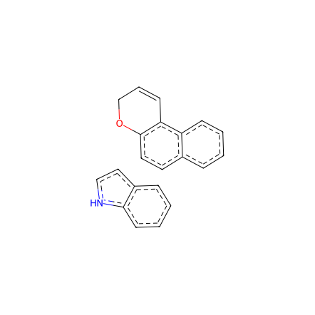 C1=Cc2c(ccc3ccccc23)OC1.c1ccc2[nH]ccc2c1